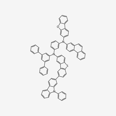 c1ccc(-c2cc(-c3ccccc3)cc(N(c3cccc(N(c4ccc5c(ccc6ccccc65)c4)c4ccc5c(c4)oc4ccccc45)c3)c3ccc4sc5ccc(-c6ccc7c8ccccc8n(-c8ccccc8)c7c6)cc5c4c3)c2)cc1